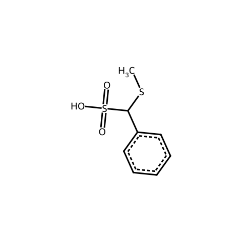 CSC(c1ccccc1)S(=O)(=O)O